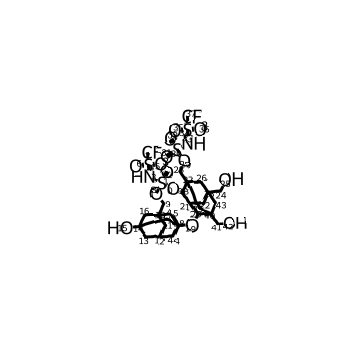 O=S(=O)(NS(=O)(=O)C(F)(F)F)OCC12CC3CC(O)(C1)CC(OC1C4CC5(CO)CC(COS(=O)(=O)NS(=O)(=O)C(F)(F)F)(C4)CC1(CO)C5)(C3)C2